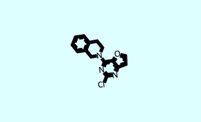 Clc1nc(N2CCc3ccccc3C2)c2occc2n1